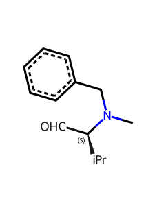 CC(C)[C@@H](C=O)N(C)Cc1ccccc1